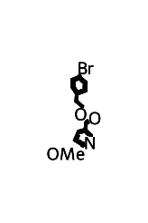 COc1ccc(C(=O)OCCc2ccc(Br)cc2)cn1